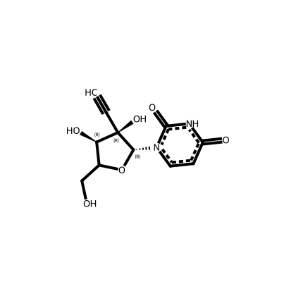 C#C[C@@]1(O)[C@H](O)C(CO)O[C@H]1n1ccc(=O)[nH]c1=O